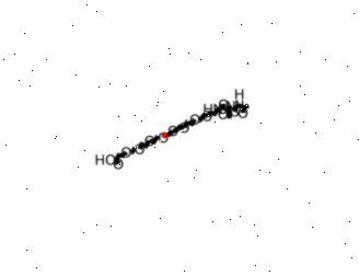 CC(=O)Nc1nc(S(=O)(=O)NCCOCCOCCOCCOCCOCCOCCOCCOCCC(=O)O)c(C)s1